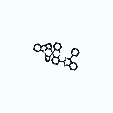 c1ccc(-c2nc(-c3cccc4c3Sc3ccccc3C43c4ccccc4-n4c5ccccc5c5cccc3c54)nc3ccccc23)cc1